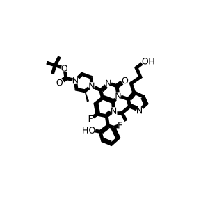 CC(C)c1nccc(CCCO)c1-n1c(=O)nc(N2CCN(C(=O)OC(C)(C)C)C[C@@H]2C)c2cc(F)c(-c3c(O)cccc3F)nc21